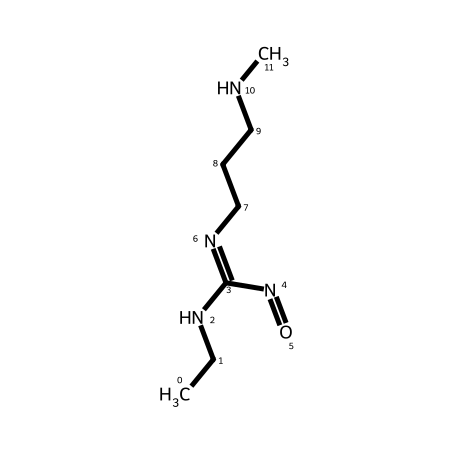 CCN/C(N=O)=N/CCCNC